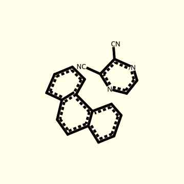 N#Cc1nccnc1C#N.c1ccc2c(c1)ccc1ccccc12